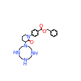 O=C(OCc1ccccc1)c1ccc(N2CCCC(N3CCNCCNCCNCC3)C2=O)cc1